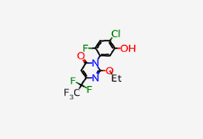 CCOc1nc(C(F)(F)C(F)(F)F)cc(=O)n1-c1cc(O)c(Cl)cc1F